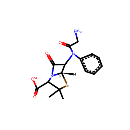 CC1(C)S[C@H]2C(N(C(=O)CN)c3ccccc3)C(=O)N2C1C(=O)O